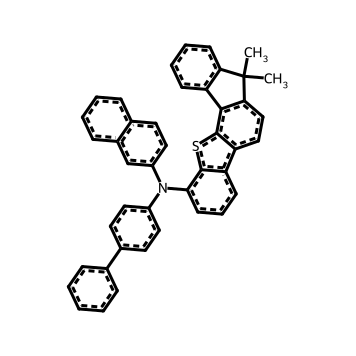 CC1(C)c2ccccc2-c2c1ccc1c2sc2c(N(c3ccc(-c4ccccc4)cc3)c3ccc4ccccc4c3)cccc21